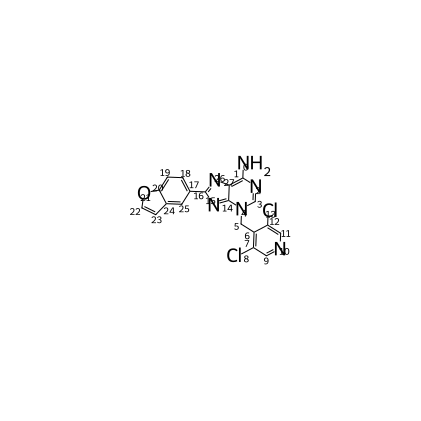 Nc1ncn(Cc2c(Cl)cncc2Cl)c2nc(-c3ccc4occc4c3)nc1-2